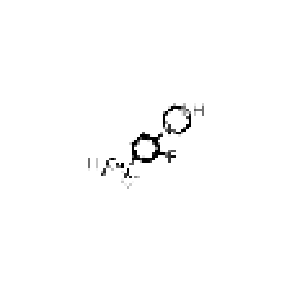 C[S@+]([O-])c1ccc(N2CCNCC2)c(F)c1